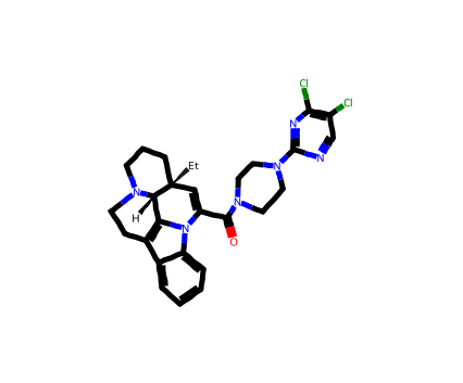 CC[C@]12C=C(C(=O)N3CCN(c4ncc(Cl)c(Cl)n4)CC3)n3c4c(c5ccccc53)CCN(CCC1)[C@@H]42